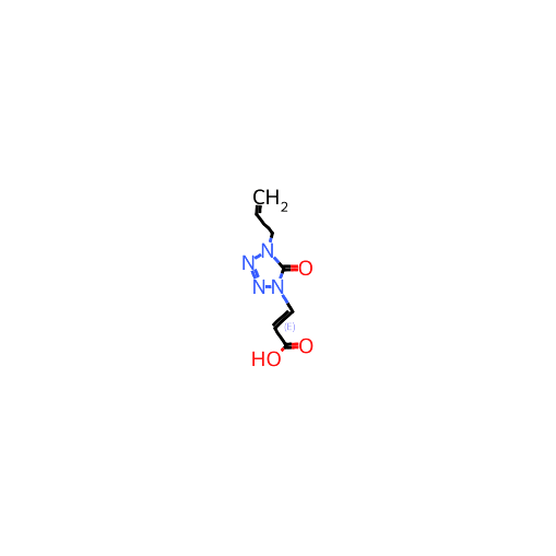 C=CCn1nnn(/C=C/C(=O)O)c1=O